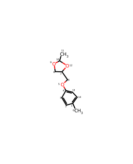 Cc1ccc(OCC2COC(C)O2)cc1